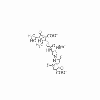 C[C@H](O)[C@H]1C(=O)N2C(C(=O)[O-])=C(COC(=O)NC3CCN(c4nc5c(cc4F)c(=O)c(C(=O)[O-])cn5C4CC4)C3)[C@@H](C)[C@@H]12.[Na+].[Na+]